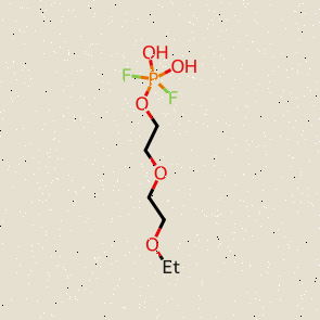 CCOCCOCCOP(O)(O)(F)F